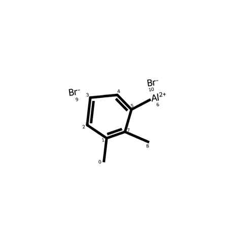 Cc1ccc[c]([Al+2])c1C.[Br-].[Br-]